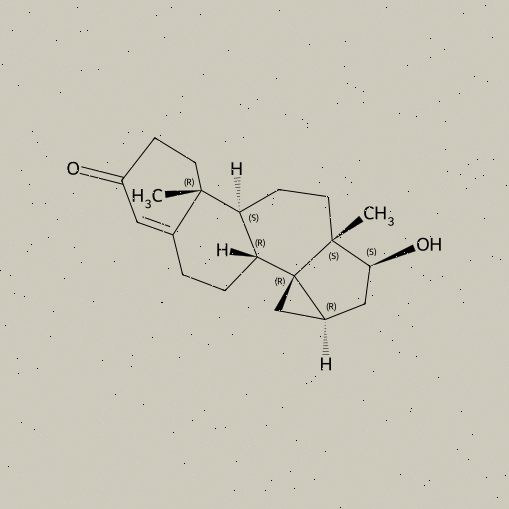 C[C@]12CCC(=O)C=C1CC[C@@H]1[C@@H]2CC[C@]2(C)[C@@H](O)C[C@H]3C[C@@]312